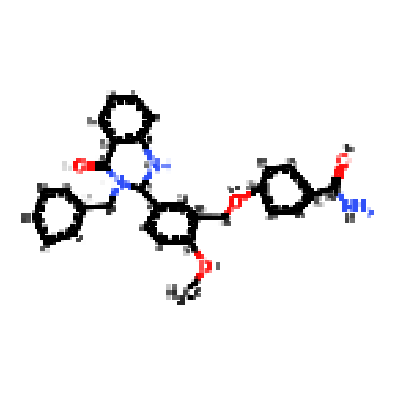 COc1ccc(C2Nc3ccccc3C(=O)N2Cc2ccccc2)cc1COc1ccc(C(N)=O)cc1